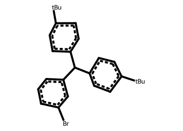 CC(C)(C)c1ccc(C(c2ccc(C(C)(C)C)cc2)c2cccc(Br)c2)cc1